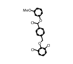 COc1cccc(OC(Cl)c2ccc(COc3c(Cl)cccc3Cl)cc2)c1